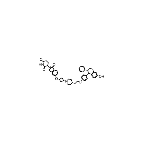 O=C1CCC(N2Cc3cc(O[C@H]4C[C@@H](N5CCC(CCOc6ccc([C@@H]7c8ccc(O)cc8CC[C@@H]7C7C=CC=CC7)cc6)CC5)C4)ccc3C2=O)C(=O)N1